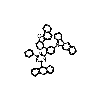 c1ccc(-c2nc(-c3ccc(-n4c5ccccc5c5cc6ccccc6cc54)cc3-c3cccc4oc5c6ccccc6ccc5c34)nc(-c3c4ccccc4cc4ccccc34)n2)cc1